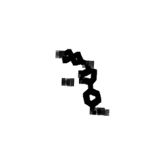 CC(=O)Nc1ccc(-c2ccc(NC3CC4(CNC4)C3)nn2)cc1.Cl